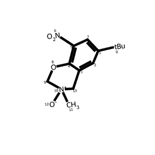 CC(C)(C)c1cc2c(c([N+](=O)[O-])c1)OC[N+](C)([O-])C2